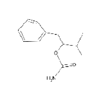 CC(C)C(Cc1ccccc1)OC(N)=O